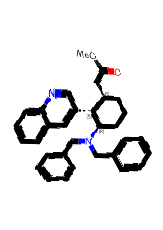 COC(=O)C[C@H]1CCC[C@@H](N(Cc2ccccc2)Cc2ccccc2)[C@@H]1c1cnc2ccccc2c1